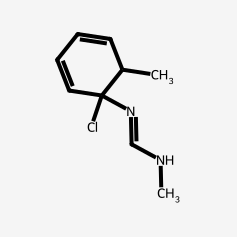 CNC=NC1(Cl)C=CC=CC1C